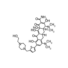 CN(C)c1cc(-c2ccc(CN3CCN(CCO)CC3)s2)c(O)c2c1C[C@H]1C[C@H]3[C@H](N(C)C)C(O)=C(C(N)=O)C(=O)[C@@]3(O)C(O)=C1C2=O